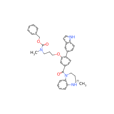 C[C@H]1CCN(C(=O)c2ccc(-c3ccc4[nH]ccc4c3)c(OCCCN(C)C(=O)OCc3ccccc3)c2)c2ccccc2N1